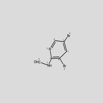 O=CNc1ncc(Br)cc1Br